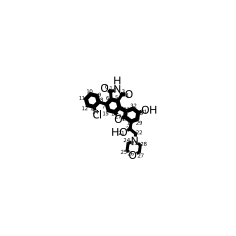 O=C1NC(=O)c2c1c(-c1ccccc1Cl)cc1oc3c(C(O)CN4CCOCC4)cc(O)cc3c21